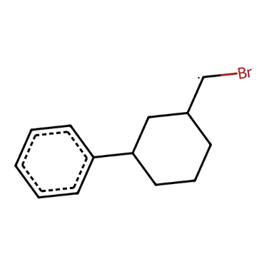 Br[CH]C1CCCC(c2ccccc2)C1